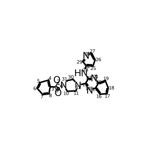 O=S(=O)(c1ccccc1)N1CCN(c2nc3ccccc3nc2Nc2cccnc2)CC1